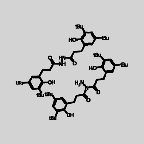 CC(C)(C)c1cc(CCC(=O)N(N)C(=O)CCc2cc(C(C)(C)C)cc(C(C)(C)C)c2O)c(O)c(C(C)(C)C)c1.CC(C)(C)c1cc(CCC(=O)NNC(=O)CCc2cc(C(C)(C)C)cc(C(C)(C)C)c2O)c(O)c(C(C)(C)C)c1